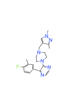 Cc1cc(-c2nccnc2N2CCN(Cc3cn(C)nc3C)CC2)ccc1F